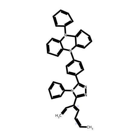 C=C/C(=C\C=C/C)c1nnc(-c2ccc(N3c4ccccc4N(c4ccccc4)c4ccccc43)cc2)n1-c1ccccc1